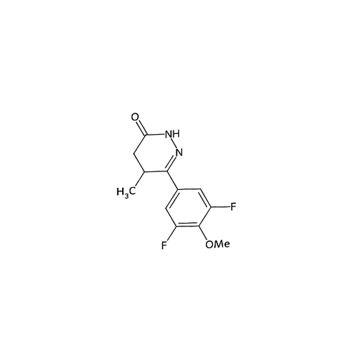 COc1c(F)cc(C2=NNC(=O)CC2C)cc1F